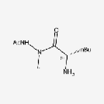 [CH2]N(NC(C)=O)C(=O)[C@@H](N)CCCC